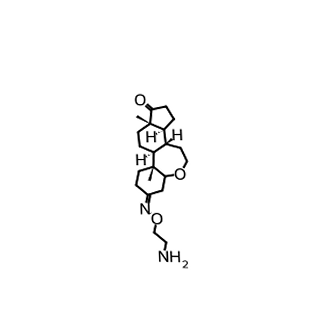 C[C@]12CC/C(=N/OCCN)CC1OCC[C@@H]1[C@@H]2CC[C@]2(C)C(=O)CC[C@@H]12